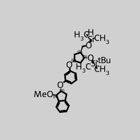 CO[C@@H]1c2ccccc2C[C@H]1Oc1cccc(O[C@@H]2C[C@@H](CO[SiH](C)C)[C@H](O[Si](C)(C)C(C)(C)C)C2)c1